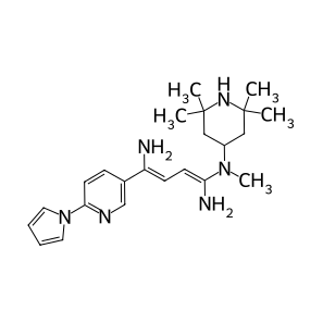 CN(/C(N)=C/C=C(\N)c1ccc(-n2cccc2)nc1)C1CC(C)(C)NC(C)(C)C1